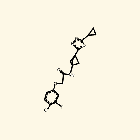 O=C(COc1ccc(Cl)c(F)c1)NC12CC(c3nnc(C4CC4)o3)(C1)C2